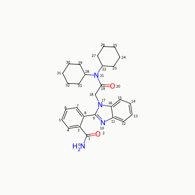 NC(=O)c1ccccc1-c1nc2ccccc2n1CC(=O)N(C1CCCCC1)C1CCCCC1